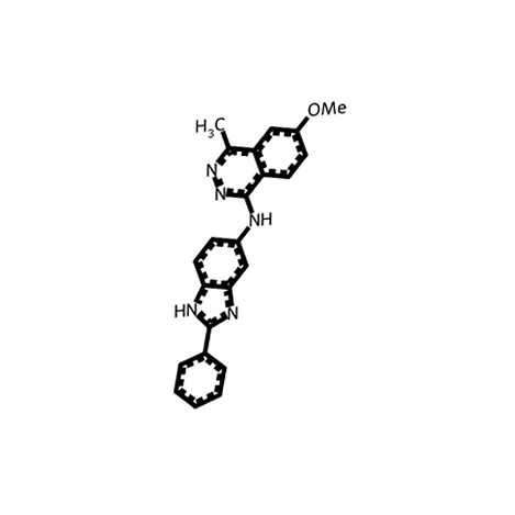 COc1ccc2c(Nc3ccc4[nH]c(-c5ccccc5)nc4c3)nnc(C)c2c1